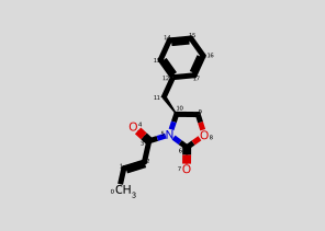 CC=CC(=O)N1C(=O)OC[C@@H]1Cc1ccccc1